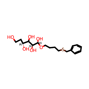 OCC[C@@H](O)C(O)[C@H](O)[C@@H](O)OCCCCSCc1ccccc1